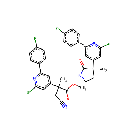 CC1(c2cc(Cl)nc(-c3ccc(F)cc3)c2)CCNC1=O.COC(=O)C(C)(CC#N)c1cc(Cl)nc(-c2ccc(F)cc2)c1